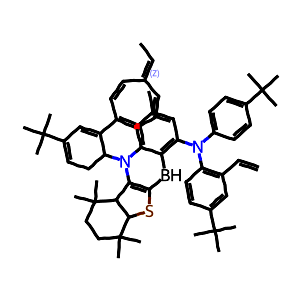 C=Cc1cc(C(C)(C)C)ccc1N(c1ccc(C(C)(C)C)cc1)c1cc(C)cc2c1BC1=C(C3C(S1)C(C)(C)CCC3(C)C)N2C1CC=C(C(C)(C)C)C=C1C1=CC=C/C(=C/C)C=C1